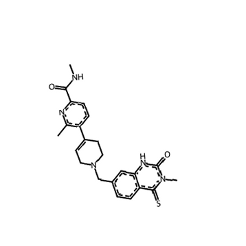 CNC(=O)c1ccc(C2=CCN(Cc3ccc4c(=S)n(C)c(=O)[nH]c4c3)CC2)c(C)n1